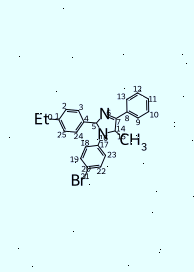 CCc1ccc(C2N=C(c3ccccc3)C(C)N2c2ccc(Br)cc2)cc1